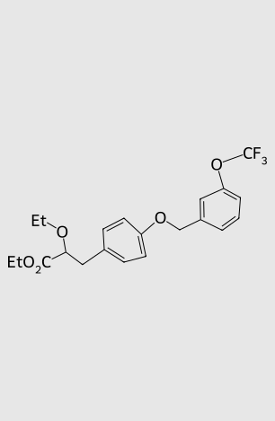 CCOC(=O)C(Cc1ccc(OCc2cccc(OC(F)(F)F)c2)cc1)OCC